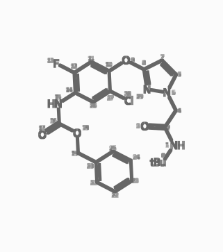 CC(C)(C)NC(=O)Cn1ccc(Oc2cc(F)c(NC(=O)OCc3ccccc3)cc2Cl)n1